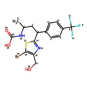 CC(CC(c1ccc(C(F)(F)F)cc1)c1nc(CO)c(Br)s1)NC(=O)O